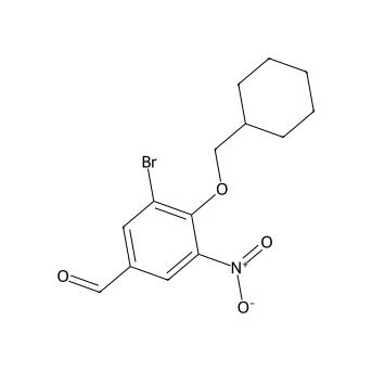 O=Cc1cc(Br)c(OCC2CCCCC2)c([N+](=O)[O-])c1